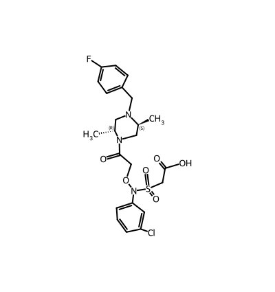 C[C@@H]1CN(Cc2ccc(F)cc2)[C@@H](C)CN1C(=O)CON(c1cccc(Cl)c1)S(=O)(=O)CC(=O)O